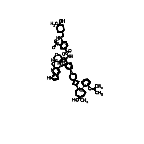 CC(C)Oc1ccccc1[C@@H]1CC[C@](C)(O)CCN1C1CC2(CCN(c3ccc(C(=O)NS(=O)(=O)c4ccc(NCC5CCC(C)(O)CC5)c([N+](=O)[O-])c4)c(N4c5cc6cc[nH]c6nc5O[C@H]5COCC[C@@H]54)c3)CC2)C1